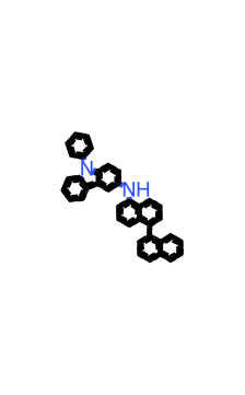 c1ccc(-n2c3ccccc3c3cc(Nc4cccc5c(-c6cccc7ccccc67)cccc45)ccc32)cc1